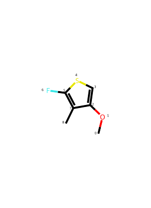 COc1csc(F)c1C